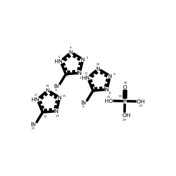 Brc1nnn[nH]1.Brc1nnn[nH]1.Brc1nnn[nH]1.O=P(O)(O)O